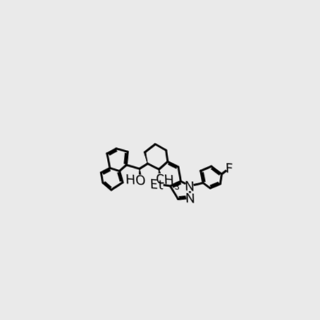 CCc1cnn(-c2ccc(F)cc2)c1/C=C1/CCC[C@H]([C@@H](O)c2cccc3ccccc23)[C@@H]1C